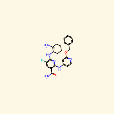 NC(=O)c1cc(F)c(NC2CCCC[C@@H]2N)nc1Nc1ccnc(OCc2ccccc2)c1